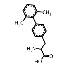 Cc1cccc(C)c1-c1ccc(CC(N)C(=O)O)cc1